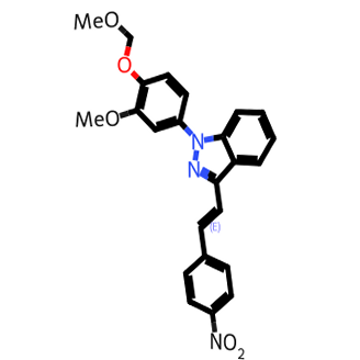 COCOc1ccc(-n2nc(/C=C/c3ccc([N+](=O)[O-])cc3)c3ccccc32)cc1OC